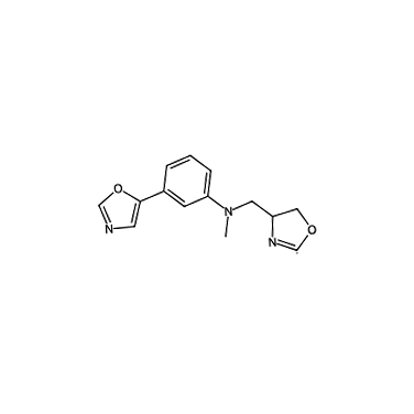 CN(CC1CO[C]=N1)c1cccc(-c2cnco2)c1